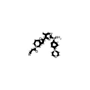 Cc1cnc(N(N)c2ccc(N3CCOCC3)cc2)nc1-c1cc2c(o1)CCN(C(=O)CC#N)C2